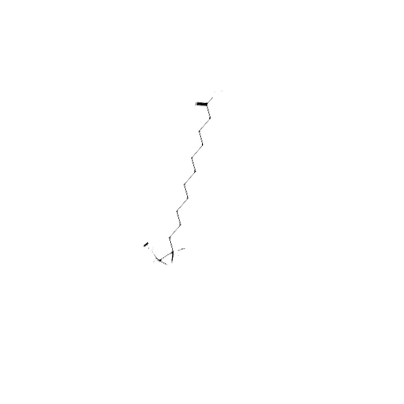 [C-]#[N+][C@]1(C)O[C@@]1(O)CCCCCCCCCCC(=O)O